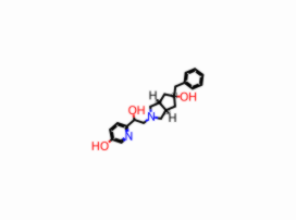 Oc1ccc(C(O)CN2C[C@@H]3C[C@](O)(Cc4ccccc4)C[C@@H]3C2)nc1